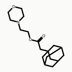 O=C(CC12CC3CC(CC(C3)C1)C2)OCCN1CCOCC1